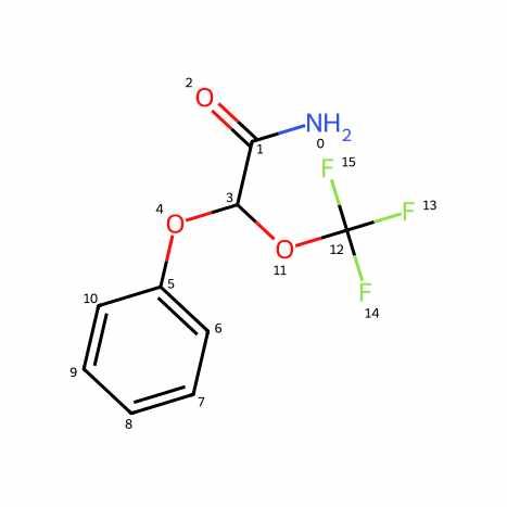 NC(=O)C(Oc1ccccc1)OC(F)(F)F